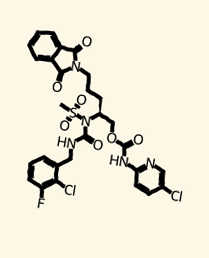 CS(=O)(=O)N(C(=O)NCc1cccc(F)c1Cl)[C@@H](CCCN1C(=O)c2ccccc2C1=O)COC(=O)Nc1ccc(Cl)cn1